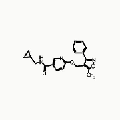 O=C(NCC1CC1)c1ccc(OCc2c(-c3ccccc3)noc2C(F)(F)F)nc1